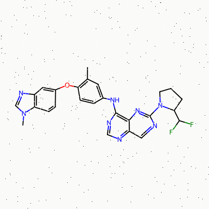 Cc1cc(Nc2ncnc3cnc(N4CCCC4C(F)F)nc23)ccc1Oc1ccc2c(c1)ncn2C